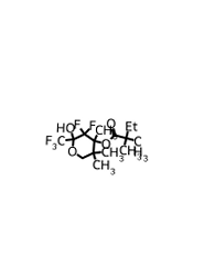 CCC(C)(C)C(=O)OC1(C)C(C)(C)COC(O)(C(F)(F)F)C1(F)F